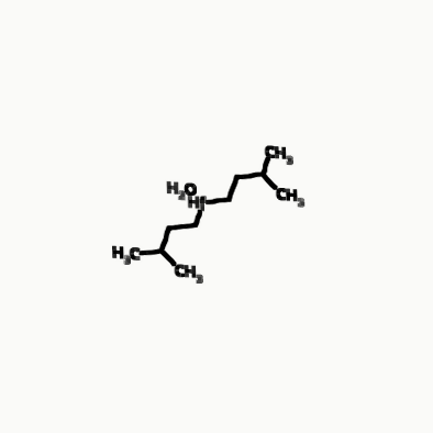 CC(C)C[CH2][Hf][CH2]CC(C)C.O